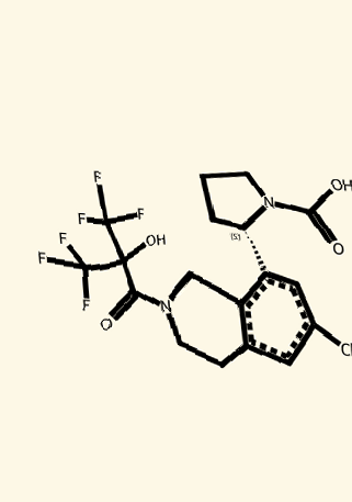 O=C(O)N1CCC[C@H]1c1cc(Cl)cc2c1CN(C(=O)C(O)(C(F)(F)F)C(F)(F)F)CC2